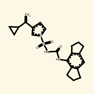 C=C(c1ccn(S(=O)(=O)NC(=O)Nc2c3c(cc4c2CCC4)CCC3)c1)C1CC1